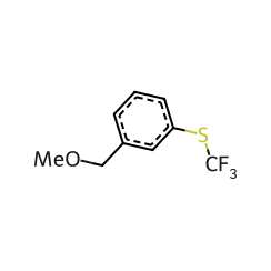 [CH2]OCc1cccc(SC(F)(F)F)c1